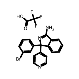 NC1=NC(c2ccncc2)(c2cccc(Br)c2)c2ccccc21.O=C(O)C(F)(F)F